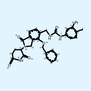 Cc1ccc(NC(=O)NCc2ccc3c(c2OCc2ccccc2)CN(C2CCC(=O)NC2=O)C3=O)cc1C(C)C